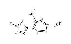 C#Cc1ccc(-n2cnc(C)c2)c(OC)c1